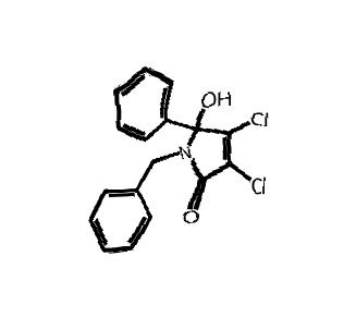 O=C1C(Cl)=C(Cl)C(O)(c2ccccc2)N1Cc1ccccc1